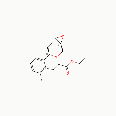 CCOC(=O)CCc1c(C)cccc1[C@@H](CC)OC[C@H]1CO1